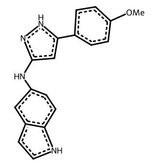 COc1ccc(-c2cc(Nc3ccc4[nH]ccc4c3)n[nH]2)cc1